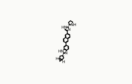 c1cc2cc(-c3c[nH]c([C@@H]4CCCN4)n3)ccc2cc1-c1ccc2nc([C@H]3C[C@@H]4C[C@@H]4C3)[nH]c2c1